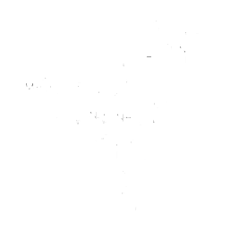 C=C(/C=C\C=C/C)[C@H]1COc2cc(C(=O)NO)ccc2CN1C(=O)N1CCC(OC)CC1